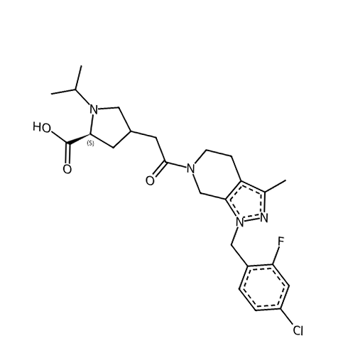 Cc1nn(Cc2ccc(Cl)cc2F)c2c1CCN(C(=O)CC1C[C@@H](C(=O)O)N(C(C)C)C1)C2